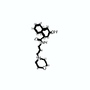 O=C(NCCCN1CCOCC1)c1[c]c(O)cc2ccccc12